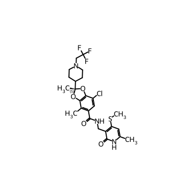 CSc1cc(C)[nH]c(=O)c1CNC(=O)c1cc(Cl)c2c(c1C)O[C@](C)(C1CCN(CC(F)(F)F)CC1)O2